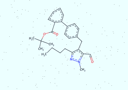 CCCCc1nn(C)c(C=O)c1Cc1ccc(-c2ccccc2C(=O)OC(C)(C)C)cc1